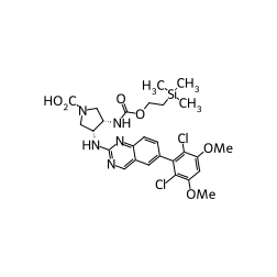 COc1cc(OC)c(Cl)c(-c2ccc3nc(N[C@@H]4CN(C(=O)O)C[C@@H]4NC(=O)OCC[Si](C)(C)C)ncc3c2)c1Cl